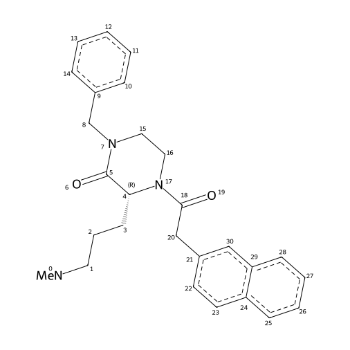 CNCCC[C@@H]1C(=O)N(Cc2ccccc2)CCN1C(=O)Cc1ccc2ccccc2c1